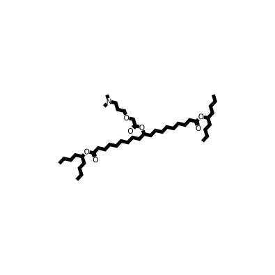 CCCCC(CCCC)OC(=O)CCCCCCCCC(CCCCCCCCC(=O)OC(CCCC)CCCC)OC(=O)COCCCN(C)C